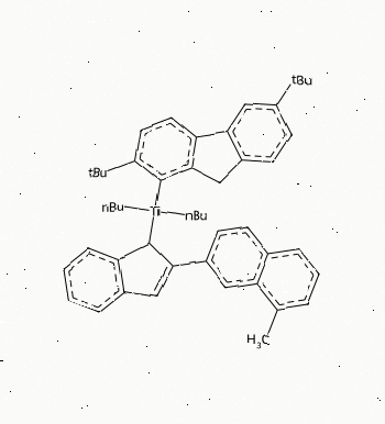 CCC[CH2][Ti]([CH2]CCC)([c]1c(C(C)(C)C)ccc2c1Cc1ccc(C(C)(C)C)cc1-2)[CH]1C(c2ccc3cccc(C)c3c2)=Cc2ccccc21